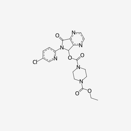 CCOC(=O)N1CCN(C(=O)OC2c3nccnc3C(=O)N2c2ccc(Cl)cn2)CC1